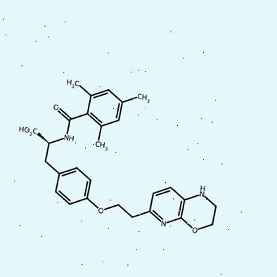 Cc1cc(C)c(C(=O)N[C@@H](Cc2ccc(OCCc3ccc4c(n3)OCCN4)cc2)C(=O)O)c(C)c1